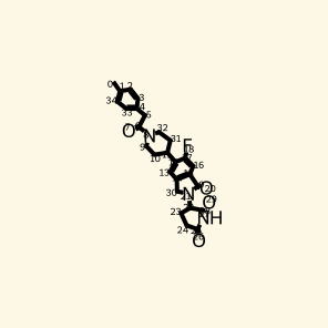 Cc1ccc(CC(=O)N2CCC(c3cc4c(cc3F)C(=O)N(C3CCC(=O)NC3=O)C4)CC2)cc1